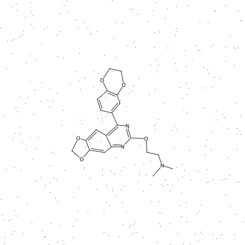 CN(C)CCOc1nc(-c2ccc3c(c2)OCCO3)c2cc3c(cc2n1)OCO3